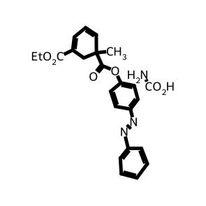 CCOC(=O)C1=CC=CC(C)(C(=O)Oc2ccc(N=Nc3ccccc3)cc2)C1.NC(=O)O